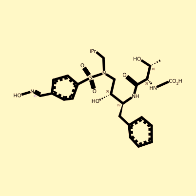 CC(C)CN(C[C@@H](O)[C@H](Cc1ccccc1)NC(=O)[C@@H](NC(=O)O)[C@@H](C)O)S(=O)(=O)c1ccc(/C=N/O)cc1